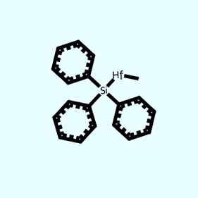 [CH3][Hf][Si](c1ccccc1)(c1ccccc1)c1ccccc1